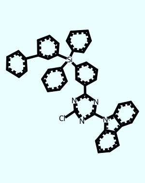 Clc1nc(-c2cccc([Si](c3ccccc3)(c3ccccc3)c3cccc(-c4ccccc4)c3)c2)nc(-n2c3ccccc3c3ccccc32)n1